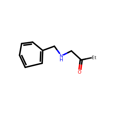 CCC(=O)CNCc1ccccc1